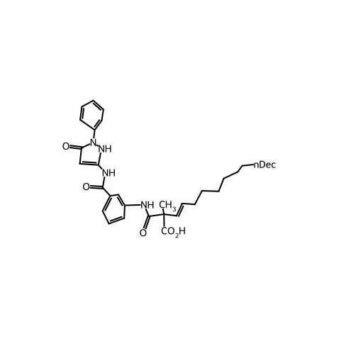 CCCCCCCCCCCCCCCCC=CC(C)(C(=O)O)C(=O)Nc1cccc(C(=O)Nc2cc(=O)n(-c3ccccc3)[nH]2)c1